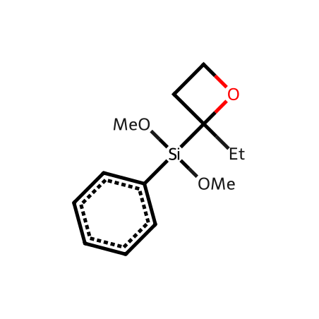 CCC1([Si](OC)(OC)c2ccccc2)CCO1